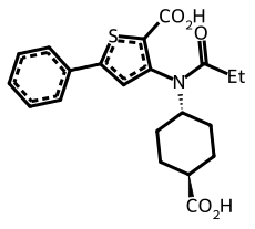 CCC(=O)N(c1cc(-c2ccccc2)sc1C(=O)O)[C@H]1CC[C@H](C(=O)O)CC1